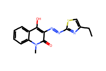 CCc1csc(N=Nc2c(O)c3ccccc3n(C)c2=O)n1